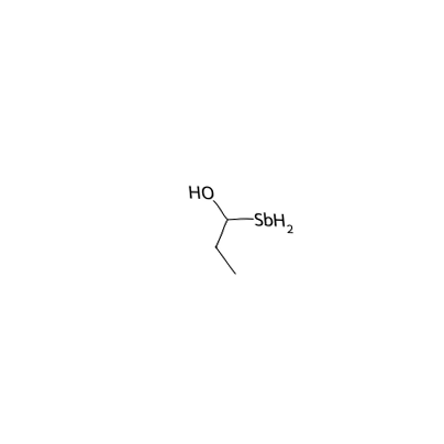 CC[CH](O)[SbH2]